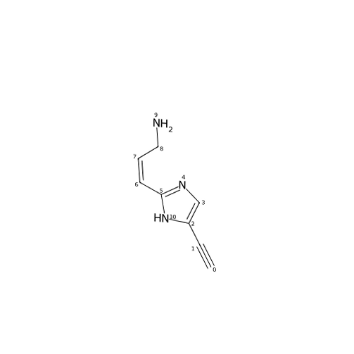 C#Cc1cnc(/C=C\CN)[nH]1